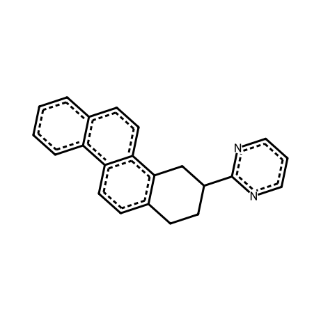 c1cnc(C2CCc3ccc4c(ccc5ccccc54)c3C2)nc1